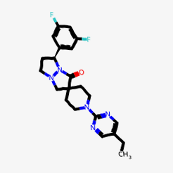 CCc1cnc(N2CCC3(CC2)CN2CC[C@@H](c4cc(F)cc(F)c4)N2C3=O)nc1